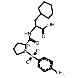 Cc1ccc(S(=O)(=O)N2CCC[C@H]2C(=O)NC(CC2CCCCC2)C(=O)O)cc1